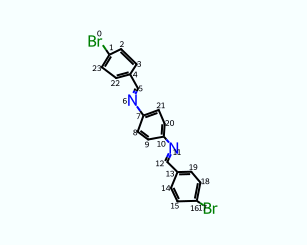 Brc1ccc(/C=N/c2ccc(/N=C/c3ccc(Br)cc3)cc2)cc1